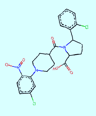 O=C(O)C1CCC(c2ccccc2Cl)N1C(=O)C1CCN(c2cc(Cl)ccc2[N+](=O)[O-])CC1